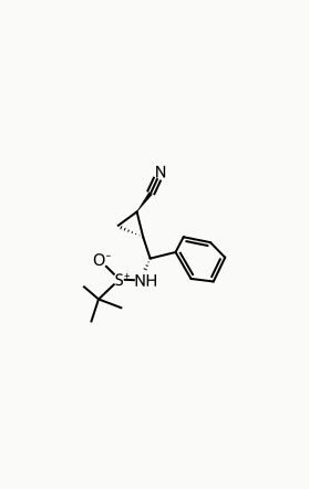 CC(C)(C)[S+]([O-])N[C@@H](c1ccccc1)[C@@H]1C[C@H]1C#N